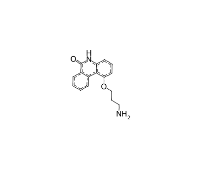 NCCCOc1cccc2[nH]c(=O)c3ccccc3c12